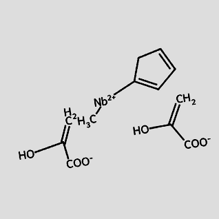 C=C(O)C(=O)[O-].C=C(O)C(=O)[O-].[CH3][Nb+2][C]1=CC=CC1